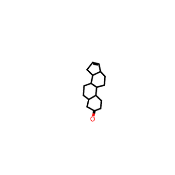 O=C1CCC2C(CCC3C4CC=CC4CCC23)C1